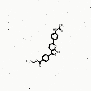 CCOC(=O)c1ccc(-c2n[nH]c3nc(-c4ccc(NC(C)=O)cc4)ccc23)cc1